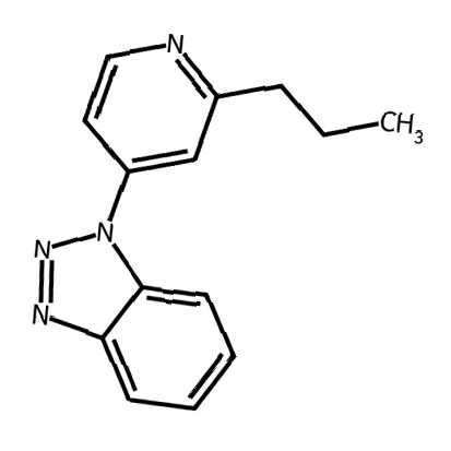 CCCc1cc(-n2nnc3ccccc32)ccn1